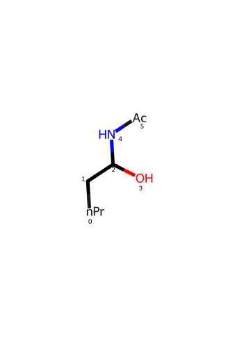 CCCC[C](O)NC(C)=O